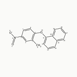 Cc1cc([N+](=O)[O-])ccc1Oc1cccc2ccccc12